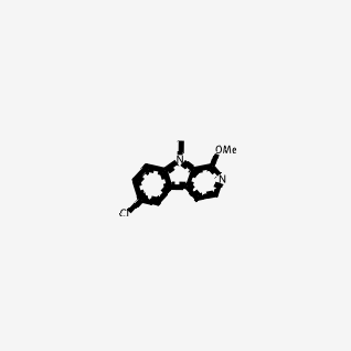 COc1nccc2c3cc(Cl)ccc3n(C)c12